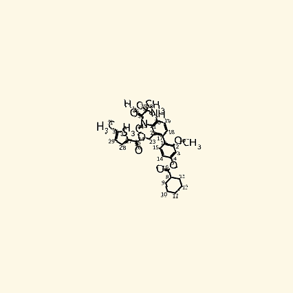 COc1cc(OC(=O)C2CCCCC2)ccc1-c1ccc2c(c1COC(=O)C1CC=C(C)S1)N(C)C(=O)C(C)(C)N2